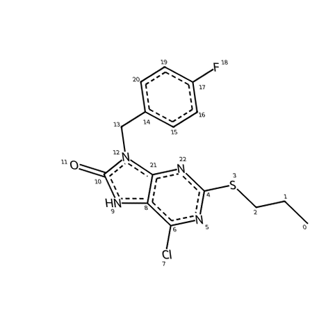 CCCSc1nc(Cl)c2[nH]c(=O)n(Cc3ccc(F)cc3)c2n1